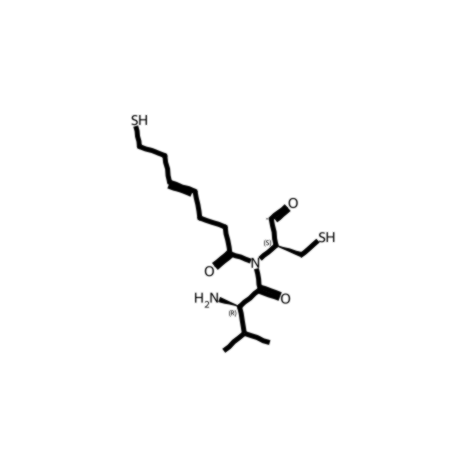 CC(C)[C@@H](N)C(=O)N(C(=O)CCC=CCCS)[C@@H]([C]=O)CS